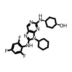 O[C@H]1CC[C@@H](Nc2ncc3nc(Nc4c(F)cc(F)cc4F)n(C4CCCCC4)c3n2)CC1